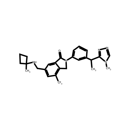 CC(c1cccc(N2Cc3c(cc(CNC4(C)CCC4)cc3C(F)(F)F)C2=O)c1)c1nncn1C